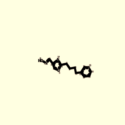 O/N=C/c1coc(CCCCc2cccnc2)n1